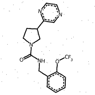 O=C(NCc1ccccc1OC(F)(F)F)N1CCC(c2cnccn2)C1